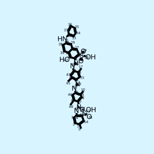 Cc1ccc(N=Nc2cc(C)c(N=Nc3cc(C)c(N=Nc4c(S(=O)(=O)O)cc5cc(Nc6ccccc6)ccc5c4O)cc3C)cc2C)c(S(=O)(=O)O)c1